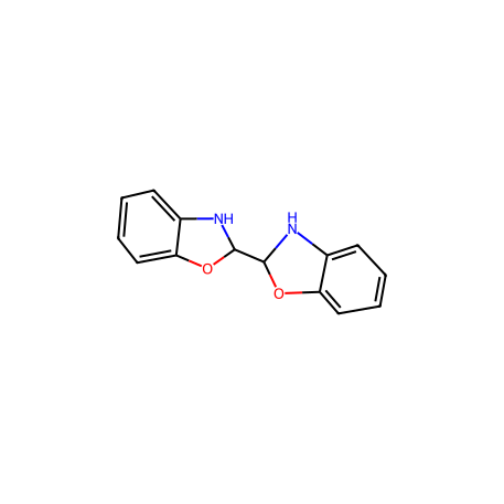 c1ccc2c(c1)NC(C1Nc3ccccc3O1)O2